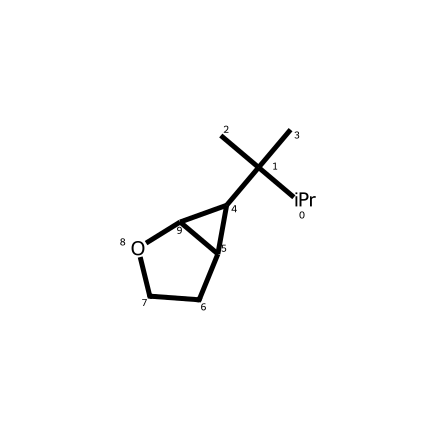 CC(C)C(C)(C)C1C2CCOC21